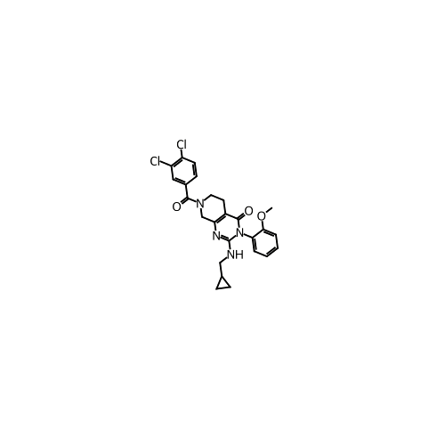 COc1ccccc1-n1c(NCC2CC2)nc2c(c1=O)CCN(C(=O)c1ccc(Cl)c(Cl)c1)C2